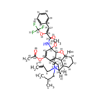 C=CC[N+]1(CC(C)C)CC[C@@]23C4=C5C[C@@H]1[C@@H]2CCC[C@@H]3OC4C(NC(=O)C(=Cc1ccccc1)OC(F)(F)F)(OC)C=C5OC(C)=O